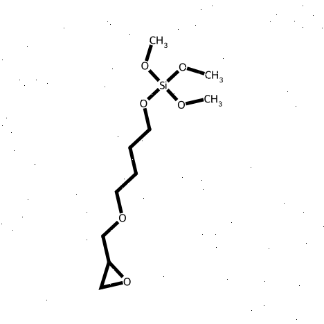 CO[Si](OC)(OC)OCCCCOCC1CO1